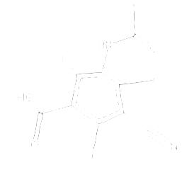 CC(=O)Nc1c(I)c(C#N)c(I)c(C(=O)O)c1I